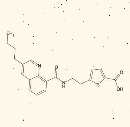 CCCCc1cnc2c(C(=O)NCCc3ccc(C(=O)O)s3)cccc2c1